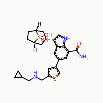 NC(=O)c1cc(-c2csc(CNCC3CC3)c2)cc2c([C@H]3C[C@H]4CC[C@@H](C3)S4(O)O)c[nH]c12